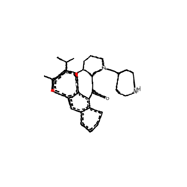 CC(C)N(C(=O)C1CCCN(C2CCNCC2)C1C(=O)c1c2ccccc2cc2ccccc12)C(C)C